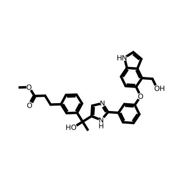 COC(=O)CCc1cccc(C(C)(O)c2cnc(-c3cccc(Oc4ccc5[nH]ccc5c4CO)c3)[nH]2)c1